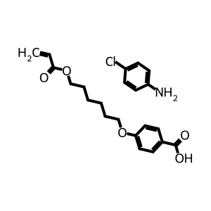 C=CC(=O)OCCCCCCOc1ccc(C(=O)O)cc1.Nc1ccc(Cl)cc1